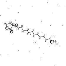 CCCCCCCCCCCCCOC1CCOC1=O